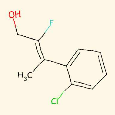 C/C(=C(/F)CO)c1ccccc1Cl